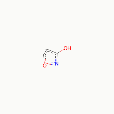 Oc1[c]con1